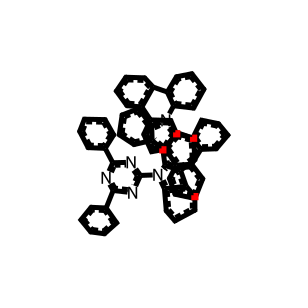 c1ccc(-c2nc(-c3ccccc3)nc(-n3c4ccccc4c4ccc5c(c6ccccc6n5-c5ccccc5-c5ccccc5-c5ccc6c7ccccc7c7ccccc7c6c5)c43)n2)cc1